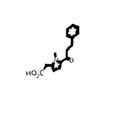 Cn1c(CC(=O)O)ccc1C(=O)CCc1ccccc1